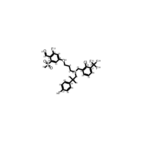 CC(C)(CN(CCCOc1cc(F)c(C=O)c(S(C)(=O)=O)c1)Cc1cccc(C(F)(F)F)c1Cl)c1ccc(F)cc1